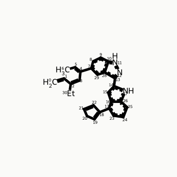 C=C/C(=C\C(=C/C)c1ccc2[nH]nc(-c3cc4c(C5=CCC=C5)cccc4[nH]3)c2c1)CC